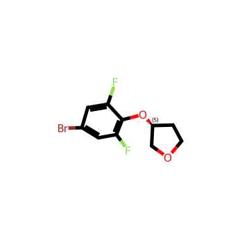 Fc1cc(Br)cc(F)c1O[C@H]1CCOC1